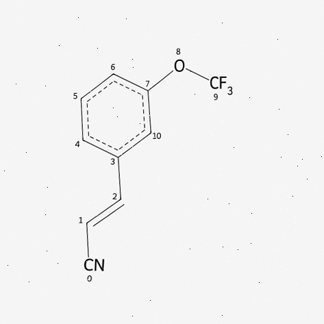 N#CC=Cc1cccc(OC(F)(F)F)c1